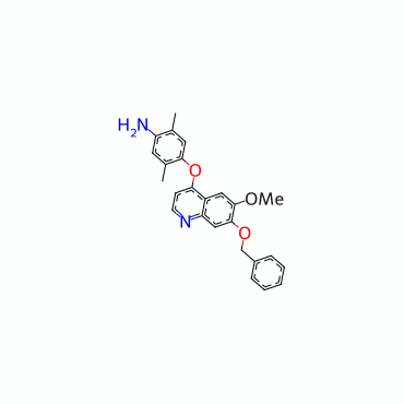 COc1cc2c(Oc3cc(C)c(N)cc3C)ccnc2cc1OCc1ccccc1